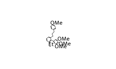 C[CH]c1cccc(CCCc2ccc(OC)cc2)c1-c1cc(OC)c(OC)c(OC)c1